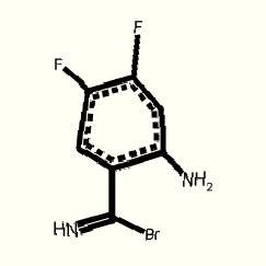 N=C(Br)c1cc(F)c(F)cc1N